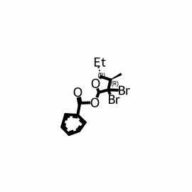 CC[C@H]1OC(OC(=O)c2ccccc2)C(Br)(Br)[C@@H]1C